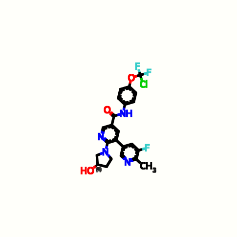 Cc1ncc(-c2cc(C(=O)Nc3ccc(OC(F)(F)Cl)cc3)cnc2N2CC[C@@H](O)C2)cc1F